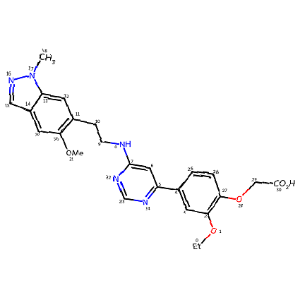 CCOc1cc(-c2cc(NCCc3cc4c(cnn4C)cc3OC)ncn2)ccc1OCC(=O)O